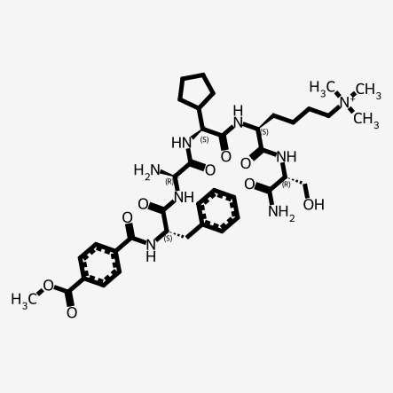 COC(=O)c1ccc(C(=O)N[C@@H](Cc2ccccc2)C(=O)N[C@@H](N)C(=O)N[C@H](C(=O)N[C@@H](CCCC[N+](C)(C)C)C(=O)N[C@H](CO)C(N)=O)C2CCCC2)cc1